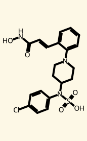 O=C(/C=C/c1ccccc1N1CCC(N(c2ccc(Cl)cc2)S(=O)(=O)O)CC1)NO